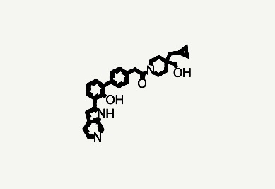 O=C(Cc1ccc(-c2cccc(-c3cc4ccncc4[nH]3)c2O)cc1)N1CCC(CO)(CC2CC2)CC1